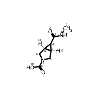 CNC(=O)C1[C@H]2CN(C(=O)O)C[C@@H]12